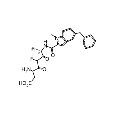 CC(C)[C@H](NC(=O)c1cc2cc(Cc3ccccc3)ccc2n1C)C(=O)C(F)C(=O)C(N)CC(=O)O